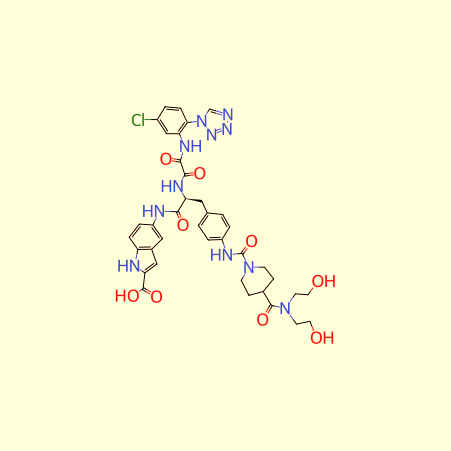 O=C(Nc1cc(Cl)ccc1-n1cnnn1)C(=O)N[C@@H](Cc1ccc(NC(=O)N2CCC(C(=O)N(CCO)CCO)CC2)cc1)C(=O)Nc1ccc2[nH]c(C(=O)O)cc2c1